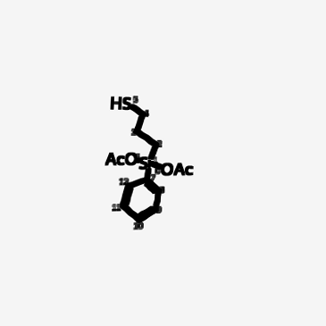 CC(=O)O[Si](CCCS)(OC(C)=O)c1ccccc1